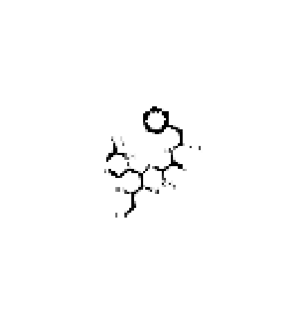 CC(=O)N[C@@H](C=O)[C@@H](O[C@H](C)C(=O)N[C@@H](C)Cc1ccccc1)[C@@H](O)[C@H](O)CO